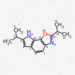 CC(C)c1cc2ccc3nc(C(C)C)oc3c2[nH]1